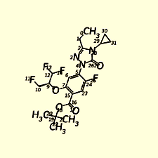 CCc1nn(-c2cc(O[C@@H](CF)C(F)F)c(C(=O)OC(C)(C)C)cc2F)c(=O)n1C1CC1